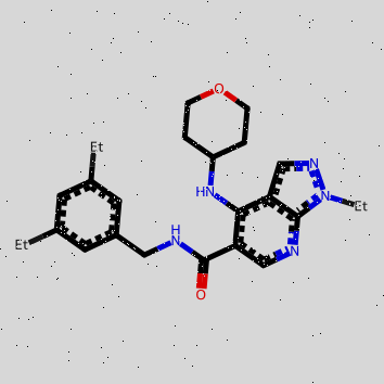 CCc1cc(CC)cc(CNC(=O)c2cnc3c(cnn3CC)c2NC2CCOCC2)c1